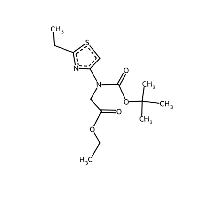 CCOC(=O)CN(C(=O)OC(C)(C)C)c1csc(CC)n1